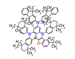 CC(C)(C)c1ccc2oc3c(c2c1)N(c1ccc2c(c1)C(C)(C)CCC2(C)C)c1cc(N(c2ccc4c(c2)C(C)(C)c2ccccc2-4)c2ccc4c(c2)C(C)(C)c2ccccc2-4)cc2c1B3c1cc3c(cc1N2c1ccc2c(c1)C(C)(C)CCC2(C)C)C(C)(C)CCC3(C)C